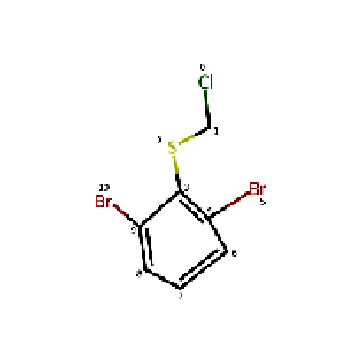 ClCSc1c(Br)cccc1Br